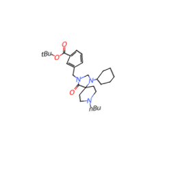 CCCCN1CCC2(CC1)C(=O)N(Cc1cccc(C(=O)OC(C)(C)C)c1)CN2C1CCCCC1